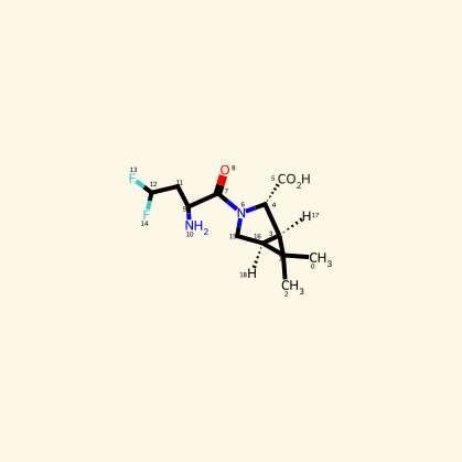 CC1(C)[C@@H]2[C@@H](C(=O)O)N(C(=O)C(N)CC(F)F)C[C@@H]21